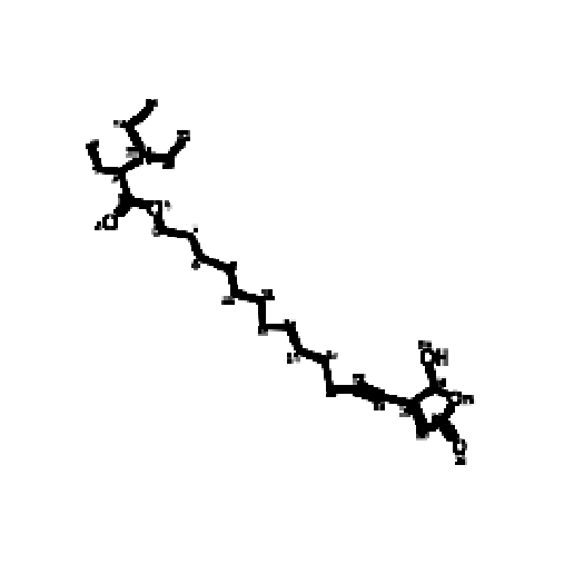 CCC(C(=O)OCCCCCCCCCCCC#CC1=CC(=O)OC1O)N(CC)CC